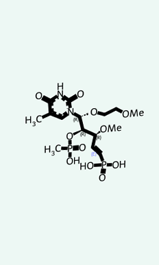 COCCO[C@H]([C@H](OP(C)(=O)O)[C@@H](/C=C/P(=O)(O)O)OC)n1cc(C)c(=O)[nH]c1=O